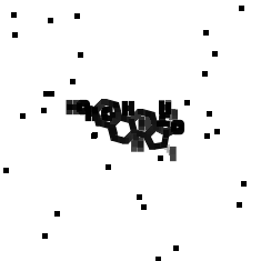 C[C@]12CC[C@H](O)CC1=CC[C@@H]1[C@@H]2CC[C@]2(C)C(=O)[C@H](I)C[C@@H]12